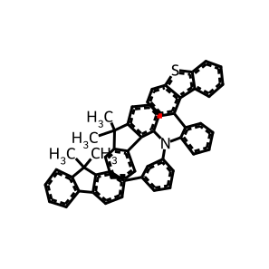 CC1(C)c2ccccc2-c2ccc(-c3cccc(N(c4ccccc4-c4cccc5sc6ccccc6c45)c4cccc5c4-c4ccccc4C5(C)C)c3)cc21